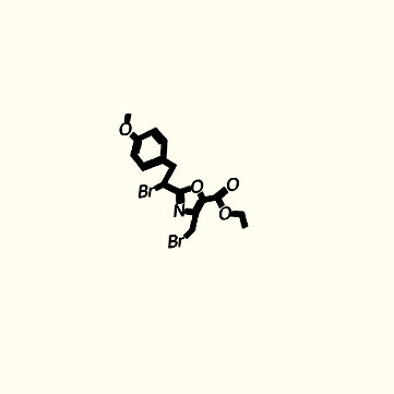 CCOC(=O)c1oc(C(Br)Cc2ccc(OC)cc2)nc1CBr